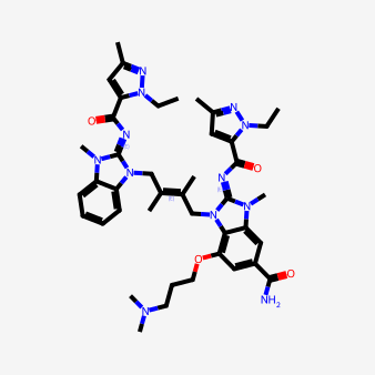 CCn1nc(C)cc1C(=O)/N=c1\n(C)c2ccccc2n1C/C(C)=C(\C)Cn1/c(=N/C(=O)c2cc(C)nn2CC)n(C)c2cc(C(N)=O)cc(OCCCN(C)C)c21